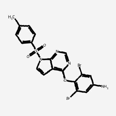 Cc1ccc(S(=O)(=O)n2ccc3c(Oc4c(Br)cc(N)cc4Br)ncnc32)cc1